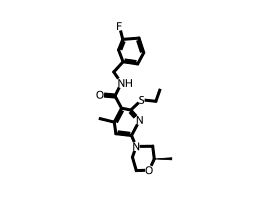 CCSc1nc(N2CCO[C@H](C)C2)cc(C)c1C(=O)NCc1cccc(F)c1